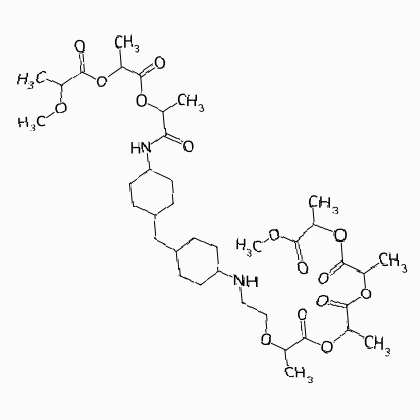 COC(=O)C(C)OC(=O)C(C)OC(=O)C(C)OC(=O)C(C)OCCNC1CCC(CC2CCC(NC(=O)C(C)OC(=O)C(C)OC(=O)C(C)OC)CC2)CC1